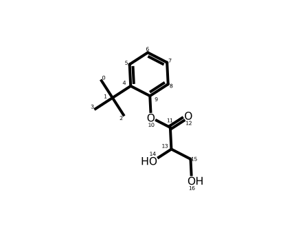 CC(C)(C)c1ccccc1OC(=O)C(O)CO